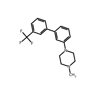 CN1CCN(c2cccc(-c3cccc(C(F)(F)F)c3)c2)CC1